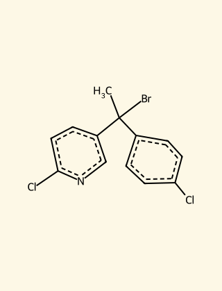 CC(Br)(c1ccc(Cl)cc1)c1ccc(Cl)nc1